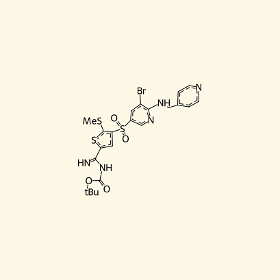 CSc1sc(C(=N)NC(=O)OC(C)(C)C)cc1S(=O)(=O)c1cnc(NCc2ccncc2)c(Br)c1